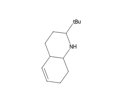 CC(C)(C)C1CCC2C=CCCC2N1